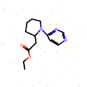 CCOC(=O)CC1CCCCN1c1ccn[c]n1